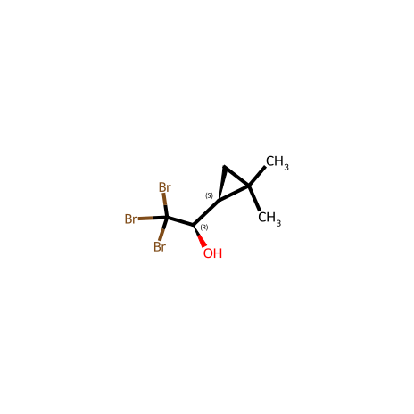 CC1(C)C[C@@H]1[C@@H](O)C(Br)(Br)Br